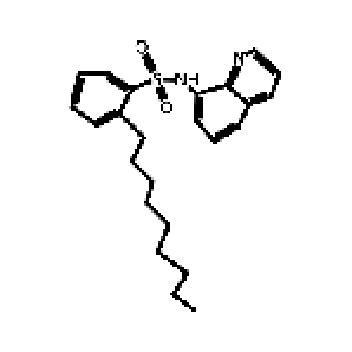 CCCCCCCCCc1ccccc1S(=O)(=O)Nc1cccc2cccnc12